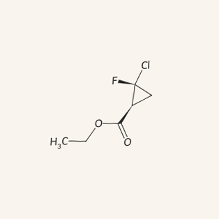 CCOC(=O)[C@@H]1C[C@@]1(F)Cl